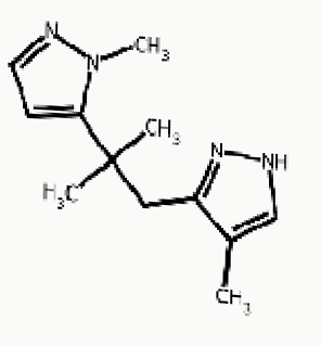 Cc1c[nH]nc1CC(C)(C)c1ccnn1C